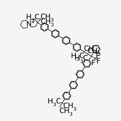 CCC(C)(C)c1ccc(-c2ccc(-c3ccc(-c4ccc(C(c5ccccc5)(C(F)(F)F)C(C)(C)C(C)(C)c5ccc(-c6ccc(-c7ccc(-c8ccc(C9(C(C)(C)C)CC[N+]%10(CCCCC%10)CC9)cc8)cc7)cc6)cc5)cc4)cc3)cc2)cc1